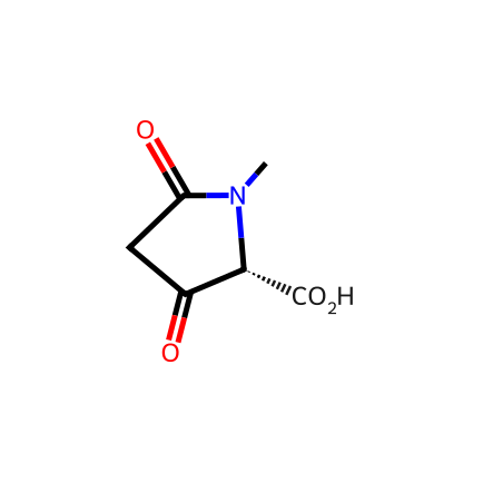 CN1C(=O)CC(=O)[C@H]1C(=O)O